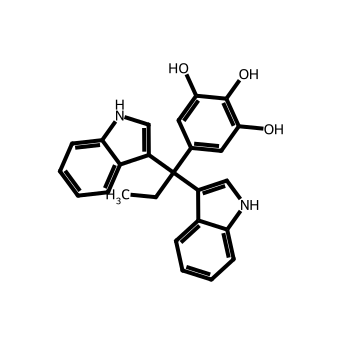 CCC(c1cc(O)c(O)c(O)c1)(c1c[nH]c2ccccc12)c1c[nH]c2ccccc12